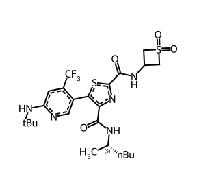 CCCC[C@H](C)NC(=O)c1nc(C(=O)NC2CS(=O)(=O)C2)sc1-c1cnc(NC(C)(C)C)cc1C(F)(F)F